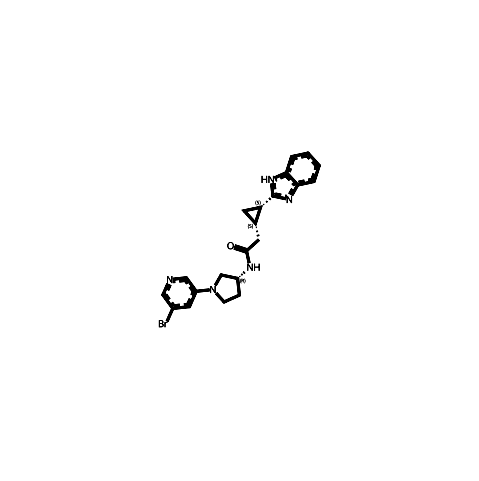 O=C(C[C@@H]1C[C@@H]1c1nc2ccccc2[nH]1)N[C@@H]1CCN(c2cncc(Br)c2)C1